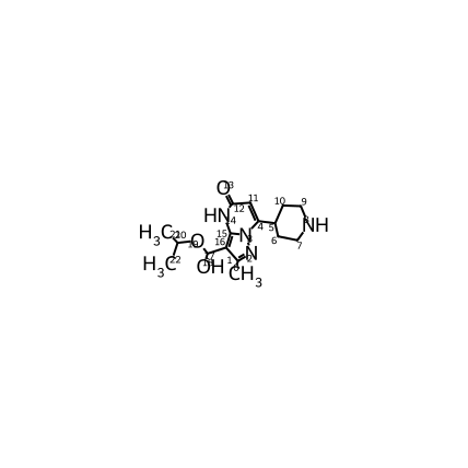 Cc1nn2c(C3CCNCC3)cc(=O)[nH]c2c1C(O)OC(C)C